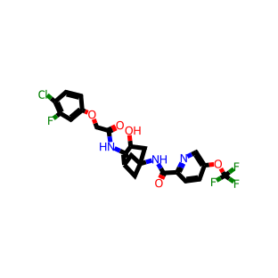 O=C(COc1ccc(Cl)c(F)c1)NC1=C2CC(NC(=O)c3ccc(OC(F)(F)F)cn3)(C2)CC1O